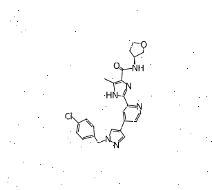 Cc1[nH]c(-c2cc(-c3cnn(Cc4ccc(Cl)cc4)c3)ccn2)nc1C(=O)N[C@H]1CCOC1